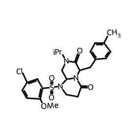 COc1ccc(Cl)cc1S(=O)(=O)N1CCC(=O)N2C(Cc3ccc(C)cc3)C(=O)N(C(C)C)CC21